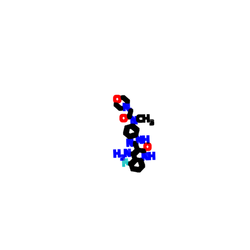 CN(C(=O)CN1CCOCC1)c1ccc2nc(-c3c(N)c4c(F)cccc4[nH]c3=O)[nH]c2c1